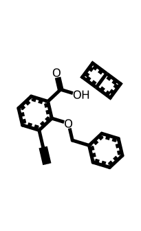 C#Cc1cccc(C(=O)O)c1OCc1ccccc1.c1cc2ccc1-2